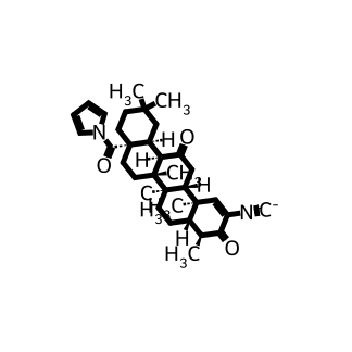 [C-]#[N+]C1=C[C@]2(C)[C@H]3CC(=O)[C@@H]4[C@@H]5CC(C)(C)CC[C@]5(C(=O)n5cccc5)CC[C@@]4(C)[C@]3(C)CC[C@H]2[C@H](C)C1=O